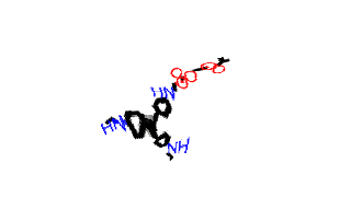 C=C(C)C(=O)OCCOC(=O)OCCNc1ccc(C(c2ccc(NCC)cc2)c2ccc(NCC)cc2)cc1